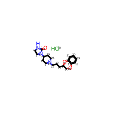 Cl.O=C1NCCN1C1CCN(CCCC2COc3ccccc3O2)CC1